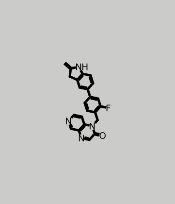 C=C1Cc2cc(-c3ccc(Cn4c(=O)cnc5cnccc54)c(F)c3)ccc2N1